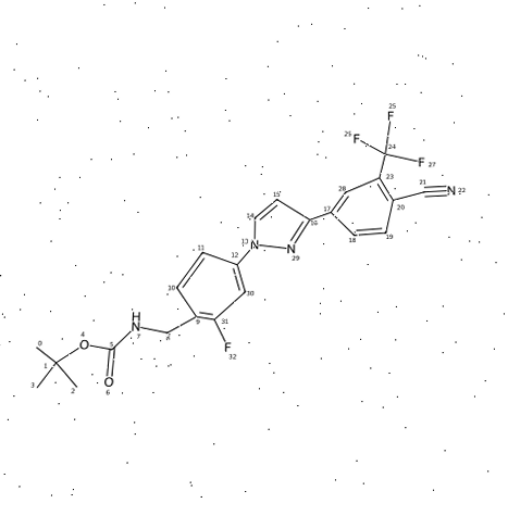 CC(C)(C)OC(=O)NCc1ccc(-n2ccc(-c3ccc(C#N)c(C(F)(F)F)c3)n2)cc1F